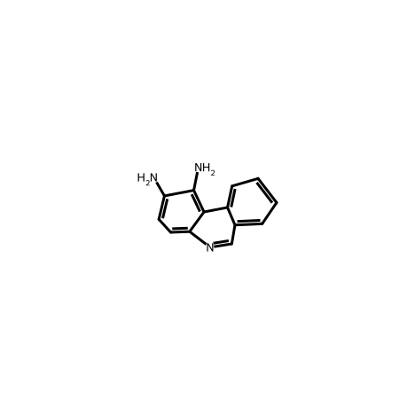 Nc1ccc2ncc3ccccc3c2c1N